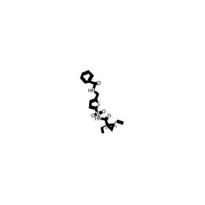 C=C[C@@H]1C[C@]1(CC)C(=O)NS(=O)(=O)c1ccc(CNC(=O)c2ccccc2)s1